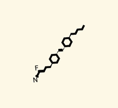 CCCCC[C@H]1CC[C@H](C=C[C@H]2CC[C@H](CCC=C(F)C#N)CC2)CC1